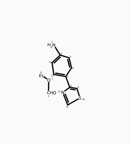 CCOC=O.Nc1ccc(-c2cscn2)cc1